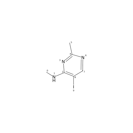 CNc1nc(C)ncc1I